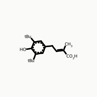 C/C(=C\Cc1cc(C(C)(C)C)c(O)c(C(C)(C)C)c1)C(=O)O